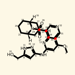 COc1cc(Nc2cc(CO)[nH]n2)nc(N[C@@H]2C[C@H]3CCC[C@@H](C2)N3S(=O)(=O)c2cccnc2)n1